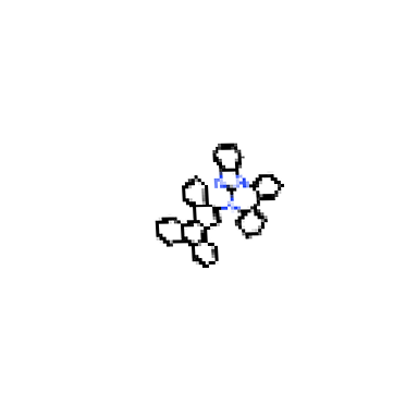 c1ccc2c(c1)-c1ccccc1-n1c(nc3ccccc31)N2c1cc2c3ccccc3c3ccccc3c2c2ccccc12